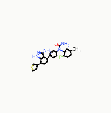 Cc1ccc(F)c(N(C(N)=O)c2ccc(-c3ccc(-c4ccsc4)c4[nH]nc(N)c34)cc2)c1